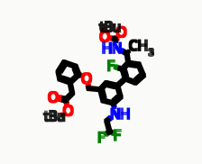 C[C@H](NC(=O)OC(C)(C)C)c1cccc(-c2cc(COc3ccccc3CC(=O)OC(C)(C)C)cc(NCC(F)F)c2)c1F